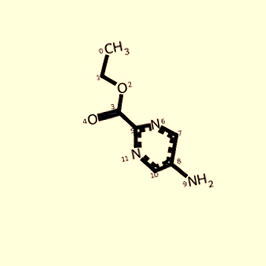 CCOC(=O)c1ncc(N)cn1